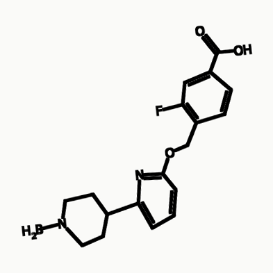 BN1CCC(c2cccc(OCc3ccc(C(=O)O)cc3F)n2)CC1